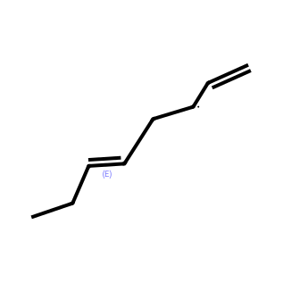 C=C[CH]C/C=C/CC